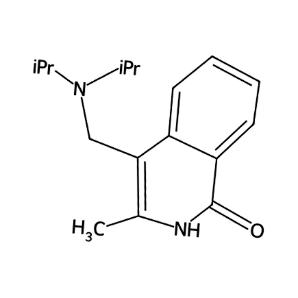 Cc1[nH]c(=O)c2ccccc2c1CN(C(C)C)C(C)C